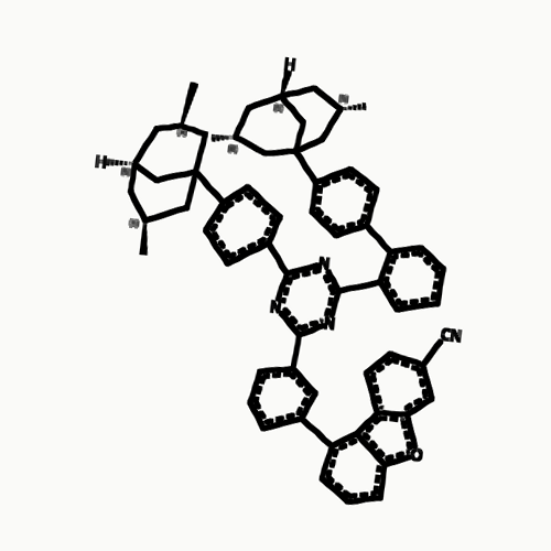 C[C@@H]1C[C@@H]2C[C@H](C)CC(c3ccc(-c4nc(-c5cccc(-c6cccc7oc8cc(C#N)ccc8c67)c5)nc(-c5ccccc5-c5ccc(C67C[C@H](C)C[C@H](C[C@H](C)C6)C7)cc5)n4)cc3)(C1)C2